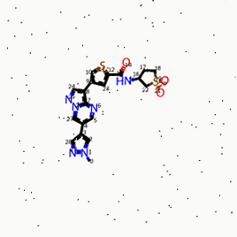 Cn1cc(-c2cnc3c(-c4csc(C(=O)NC5CCS(=O)(=O)C5)c4)cnn3c2)cn1